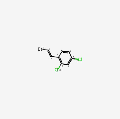 CC/C=C/c1ccc(Cl)cc1Cl